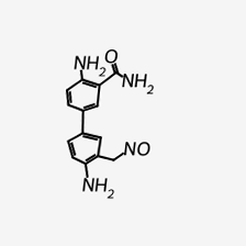 NC(=O)c1cc(-c2ccc(N)c(CN=O)c2)ccc1N